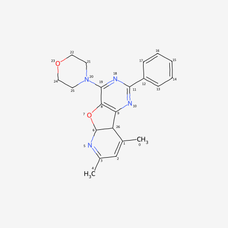 CC1=CC(C)=NC2Oc3c(nc(-c4ccccc4)nc3N3CCOCC3)C12